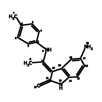 CC(Nc1ccc(C)cc1)=C1C(=O)Nc2ccc(N)cc21